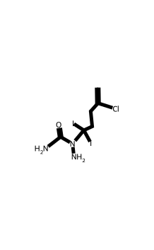 C=C(Cl)CCC(I)(I)N(N)C(N)=O